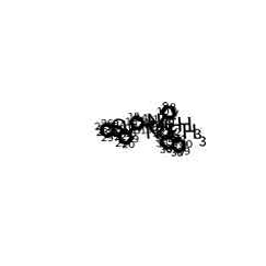 CS1(C)c2c(-c3ccccc3)nc(-c3cccc(-c4cccc5c4oc4ccccc45)c3)nc2-c2ccc3ccccc3c21